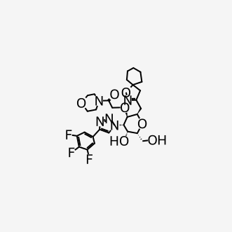 O=C(CO[C@@H]1[C@@H](n2cc(-c3cc(F)c(F)c(F)c3)nn2)[C@@H](O)[C@@H](CO)O[C@@H]1CC1=NOC2(CCCCC2)C1)N1CCOCC1